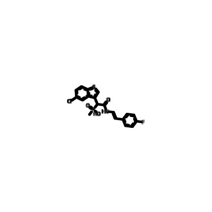 CP(=O)(O)C(C(=O)N/C=C/c1ccc(F)cc1)c1csc2ccc(Cl)cc12